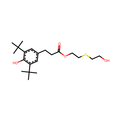 CC(C)(C)c1cc(CCC(=O)OCCSCCO)cc(C(C)(C)C)c1O